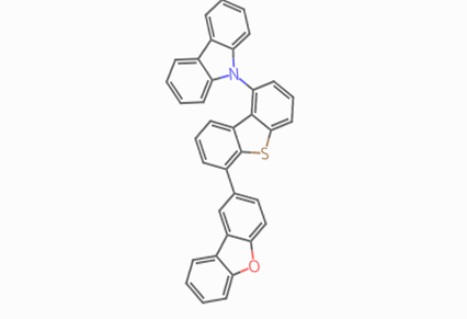 c1ccc2c(c1)oc1ccc(-c3cccc4c3sc3cccc(-n5c6ccccc6c6ccccc65)c34)cc12